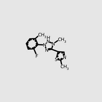 Cc1ncc(C2=NN(c3c(C)cccc3F)NN2C)s1